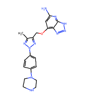 Cc1nn(-c2ccc(N3CCNCC3)cc2)nc1COc1cc(N)nc2[nH]nnc12